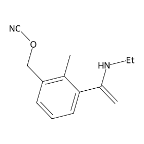 C=C(NCC)c1cccc(COC#N)c1C